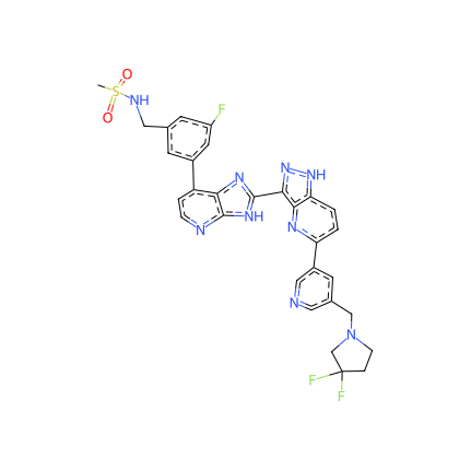 CS(=O)(=O)NCc1cc(F)cc(-c2ccnc3[nH]c(-c4n[nH]c5ccc(-c6cncc(CN7CCC(F)(F)C7)c6)nc45)nc23)c1